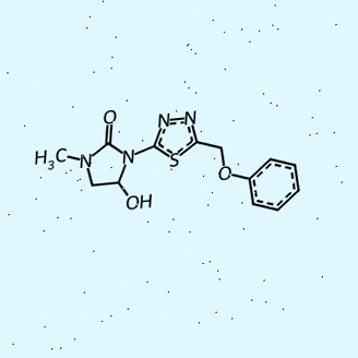 CN1CC(O)N(c2nnc(COc3ccccc3)s2)C1=O